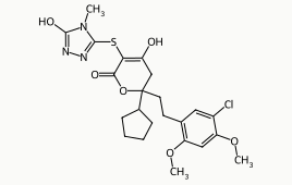 COc1cc(OC)c(CCC2(C3CCCC3)CC(O)=C(Sc3nnc(O)n3C)C(=O)O2)cc1Cl